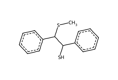 CSC(c1ccccc1)C(S)c1ccccc1